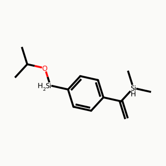 C=C(c1ccc([SiH2]OC(C)C)cc1)[SiH](C)C